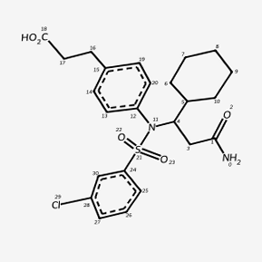 NC(=O)CC(C1CCCCC1)N(c1ccc(CCC(=O)O)cc1)S(=O)(=O)c1cccc(Cl)c1